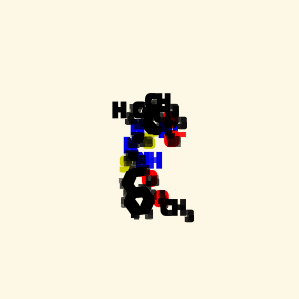 COc1cccc(C=C2SC(=Nc3nc(C(C)(C)C)c([N+](=O)[O-])s3)NC2=O)c1